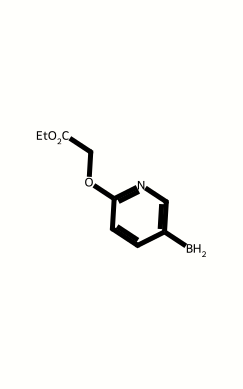 Bc1ccc(OCC(=O)OCC)nc1